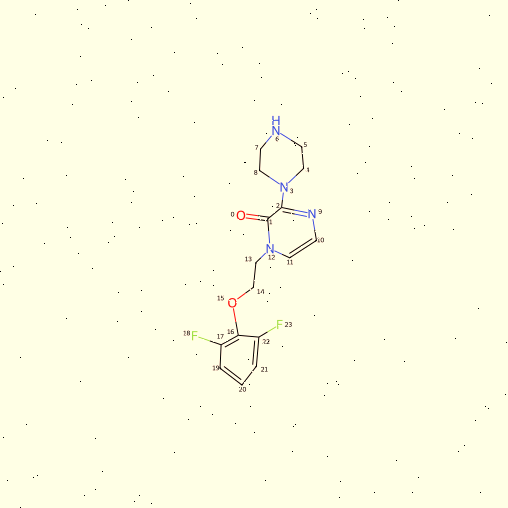 O=c1c(N2CCNCC2)nccn1CCOc1c(F)cccc1F